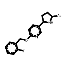 CC(=O)C1CCC(c2ccc(OCc3ccccc3F)nc2)N1